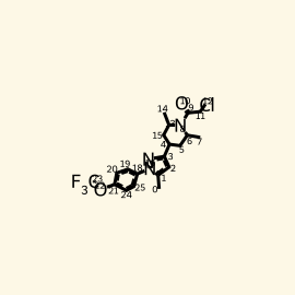 Cc1cc(C2CC(C)N(C(=O)CCl)C(C)C2)nn1-c1ccc(OC(F)(F)F)cc1